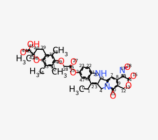 CCC1=C2Cn3c(cc4c(c3=O)COC(=O)[C@H]4N=O)C2Nc2ccc(OC(=O)COc3c(C)c(C)c4c(c3C)CCC(C)(C(=O)O)O4)cc21